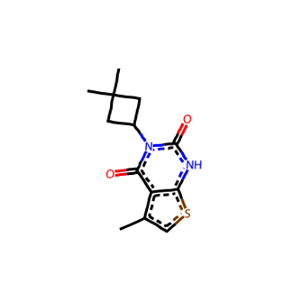 Cc1csc2[nH]c(=O)n(C3CC(C)(C)C3)c(=O)c12